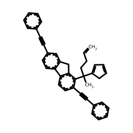 C=CCCC(C)(C1=CC=CC1)c1c(C#Cc2ccccc2)ccc2c1Cc1cc(C#Cc3ccccc3)ccc1-2